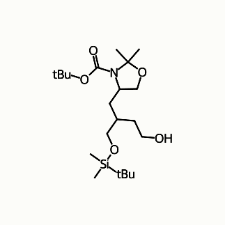 CC(C)(C)OC(=O)N1C(CC(CCO)CO[Si](C)(C)C(C)(C)C)COC1(C)C